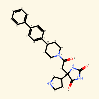 O=C1NC(=O)C(CC(=O)N2CCC(c3ccc(-c4ccccc4)cc3)CC2)(C2CCNC2)N1